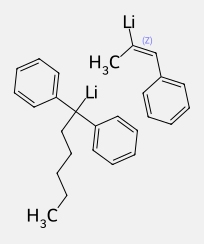 [Li]/[C](C)=C/c1ccccc1.[Li][C](CCCCC)(c1ccccc1)c1ccccc1